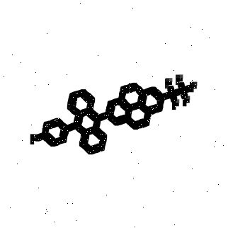 Fc1ccc(-c2c3ccccc3c(-c3cc4ccc5cc(C(F)(F)C(F)(F)F)cc6ccc(c3)c4c56)c3ccccc23)cc1